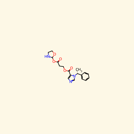 C[C@H](c1ccccc1)n1cncc1C(=O)OCCC(=O)OC1NCCO1